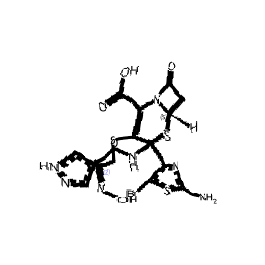 Nc1nc(C2(NC(=O)/C=N\O)S[C@H]3CC(=O)N3C(C(=O)O)=C2SCc2cn[nH]c2)c(Br)s1